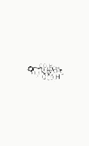 C[C@H](NC(CCc1ccccc1)C(=O)O)C(=O)N1CC2OC(C)(C)OC2C1C(=O)O